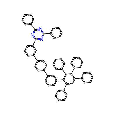 c1ccc(-c2nc(-c3ccccc3)nc(-c3cccc(-c4ccc(-c5cccc(-c6c(-c7ccccc7)cc(-c7ccccc7)c(-c7ccccc7)c6-c6ccccc6)c5)cc4)c3)n2)cc1